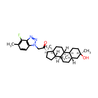 Cc1ccc2c(nnn2CC(=O)[C@H]2CC[C@H]3[C@@H]4CC[C@H]5C[C@](C)(O)CC[C@]5(C)[C@H]4CC[C@]23C)c1F